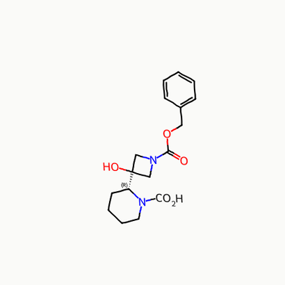 O=C(OCc1ccccc1)N1CC(O)([C@H]2CCCCN2C(=O)O)C1